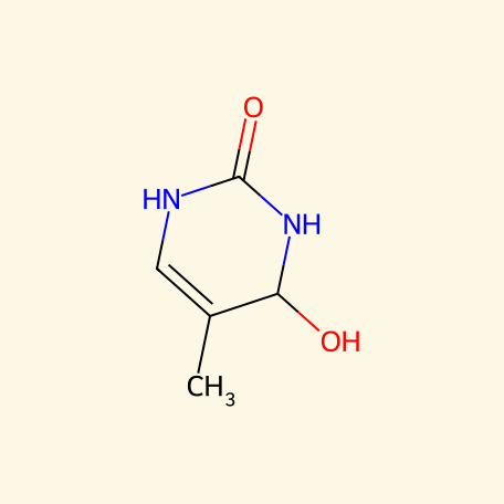 CC1=CNC(=O)NC1O